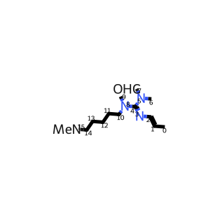 C/C=C/N=C(\N(C)C=O)N(C)CCCCCNC